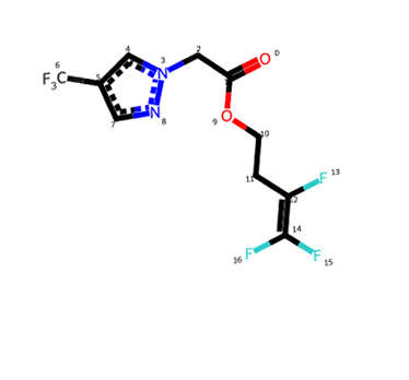 O=C(Cn1cc(C(F)(F)F)cn1)OCCC(F)=C(F)F